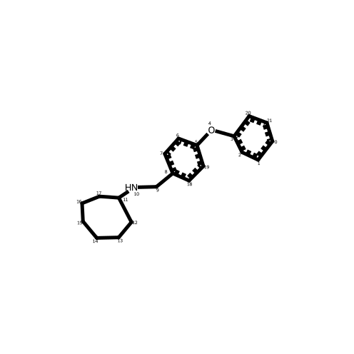 c1ccc(Oc2ccc(CNC3CCCCCC3)cc2)cc1